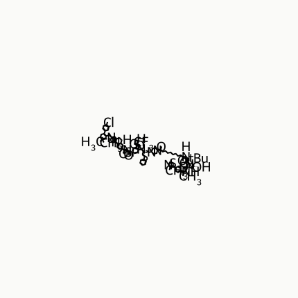 Cc1ncsc1-c1ccc(C(C)NC(=O)[C@@H]2C[C@@H](O)CN2C(=O)[C@@H](NC(=O)CCCCCCCCC(=O)N2CCN(CC[C@H](CSc3ccccc3)Nc3ccc([Si](=O)NC(=O)c4ccc5c(c4)CCC4CN(CC6=C(c7ccc(Cl)cc7)CCC(C)(C)C6)CCN54)cc3S(=O)(=O)C(F)(F)F)CC2)C(C)(C)C)cc1